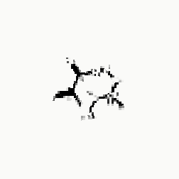 C=C(C)C([O])=O.CCO[SiH](C)OCC